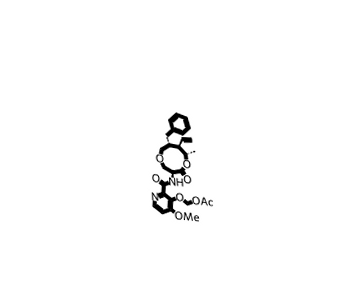 C=C[C@@H]1[C@@H](Cc2ccccc2)COC[C@H](NC(=O)c2nccc(OC)c2OCOC(C)=O)C(=O)O[C@H]1C